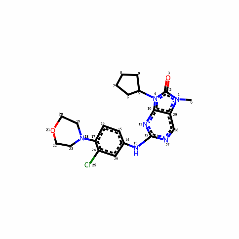 Cn1c(=O)n(C2CCCC2)c2nc(Nc3ccc(N4CCOCC4)c(Cl)c3)ncc21